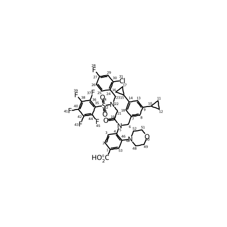 O=C(O)c1ccc(N(Cc2cc(C3CC3)cc(C3CC3)c2)C(=O)CN(Cc2ccc(F)cc2Cl)S(=O)(=O)c2c(F)c(F)c(F)c(F)c2F)c(N2CCOCC2)c1